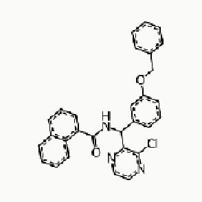 O=C(NC(c1cccc(OCc2ccccc2)c1)c1nccnc1Cl)c1cccc2ccccc12